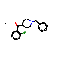 O=C(c1ccccc1F)C1CCN(Cc2ccccc2)CC1